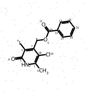 Cc1[nH]c(=O)c(I)c(COC(=O)c2ccccc2)c1Cl